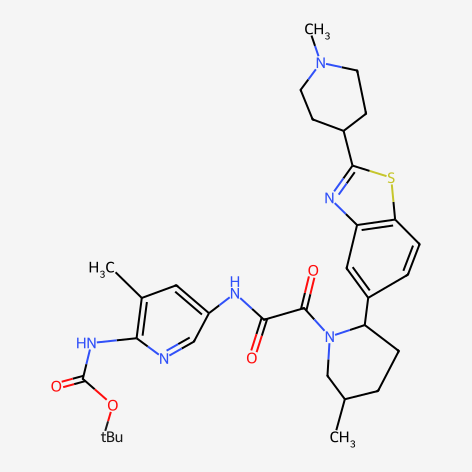 Cc1cc(NC(=O)C(=O)N2CC(C)CCC2c2ccc3sc(C4CCN(C)CC4)nc3c2)cnc1NC(=O)OC(C)(C)C